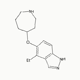 CCc1c(OC2CCCNCC2)ccc2[nH]ncc12